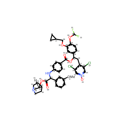 COc1cccc(C(Nc2ccc(C(=O)OC(Cc3c(Cl)c[n+]([O-])cc3Cl)c3ccc(OC(F)F)c(OCC4CC4)c3)cc2)C(=O)O[C@H]2CN3CCC2CC3)c1